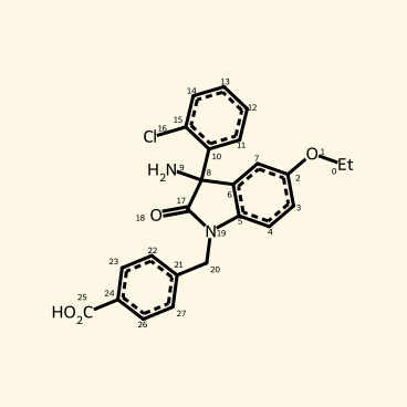 CCOc1ccc2c(c1)C(N)(c1ccccc1Cl)C(=O)N2Cc1ccc(C(=O)O)cc1